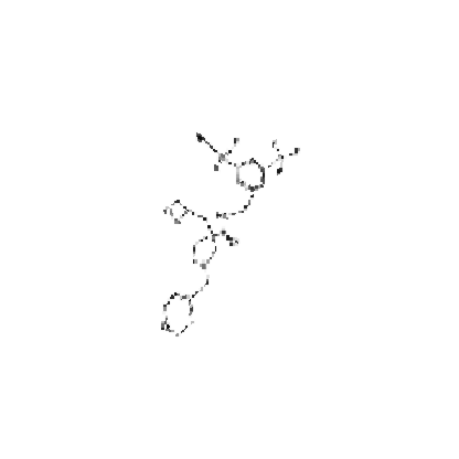 O=C(NCc1cc(C(F)(F)F)cc(C(F)(F)F)c1)C1(CC2COC2)CCN(CC2CCOCC2)C1